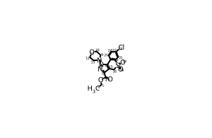 CCOC(=O)c1nn(N2CCOCC2)c2c1CS(=O)(=O)c1cc(Cl)ccc1-2